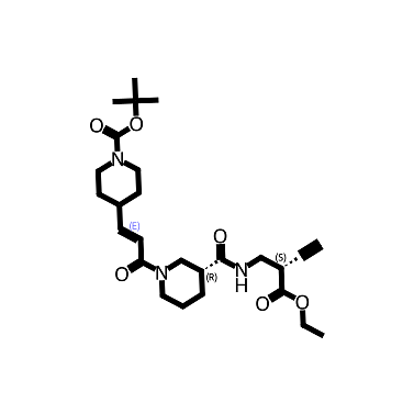 C#C[C@@H](CNC(=O)[C@@H]1CCCN(C(=O)/C=C/C2CCN(C(=O)OC(C)(C)C)CC2)C1)C(=O)OCC